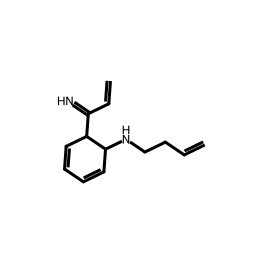 C=CCCNC1C=CC=CC1C(=N)C=C